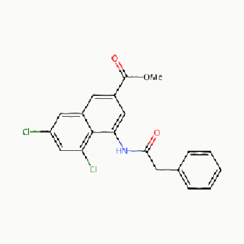 COC(=O)c1cc(NC(=O)Cc2ccccc2)c2c(Cl)cc(Cl)cc2c1